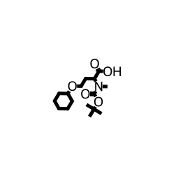 CN(C(=O)OC(C)(C)C)C(CCOC1CCCCC1)C(=O)O